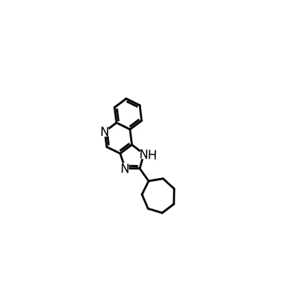 c1ccc2c(c1)ncc1nc(C3CCCCCC3)[nH]c12